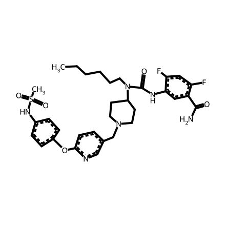 CCCCCCN(C(=O)Nc1cc(C(N)=O)c(F)cc1F)C1CCN(Cc2ccc(Oc3ccc(NS(C)(=O)=O)cc3)nc2)CC1